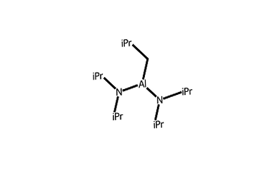 CC(C)[CH2][Al]([N](C(C)C)C(C)C)[N](C(C)C)C(C)C